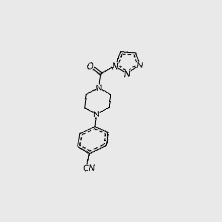 N#Cc1ccc(N2CCN(C(=O)n3ccnn3)CC2)cc1